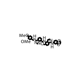 COc1ccc(CNc2ncnc3c(C(=O)Nc4c(C)ccc5c(Nc6ccc7c(c6)OCCO7)nccc45)cccc23)c(OC)c1